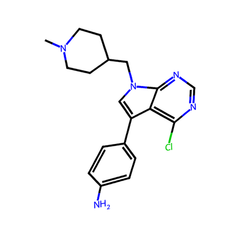 CN1CCC(Cn2cc(-c3ccc(N)cc3)c3c(Cl)ncnc32)CC1